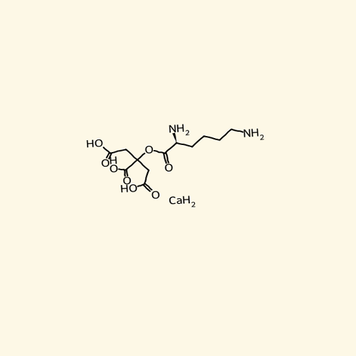 NCCCC[C@H](N)C(=O)OC(CC(=O)O)(CC(=O)O)C(=O)O.[CaH2]